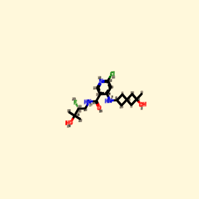 CC1(O)CC2(CC(Nc3cc(Cl)ncc3C(=O)NC[C@@H](F)C(C)(C)O)C2)C1